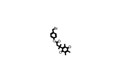 CC1=C(C)C(=O)C(C(C)(C)CC(=O)Oc2ccc(CBr)cc2)=C(C)C1=O